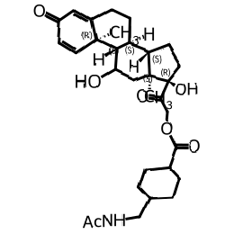 CC(=O)NCC1CCC(C(=O)OCC(=O)[C@@]2(O)CC[C@H]3[C@@H]4CCC5=CC(=O)C=C[C@]5(C)[C@H]4C(O)C[C@@]32C)CC1